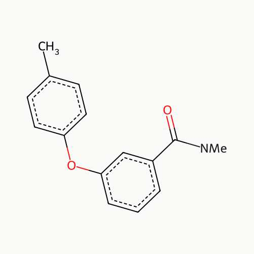 CNC(=O)c1cccc(Oc2ccc(C)cc2)c1